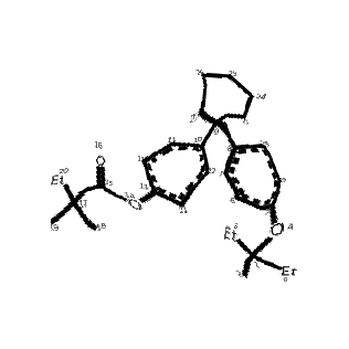 CCC(C)(CC)Oc1ccc(C2(c3ccc(OC(=O)C(C)(C)CC)cc3)CCCCC2)cc1